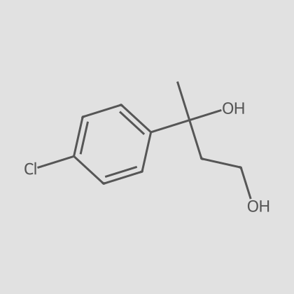 CC(O)(CCO)c1ccc(Cl)cc1